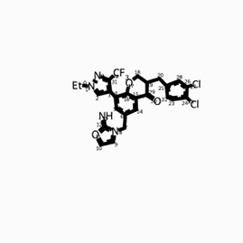 CCn1cc(-c2cc(Cn3ccoc3=N)cc3c2OCC(Cc2ccc(Cl)c(Cl)c2)C3=O)c(C(F)(F)F)n1